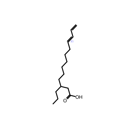 C=C/C=C/CCCCCCC(CCC)CC(=O)O